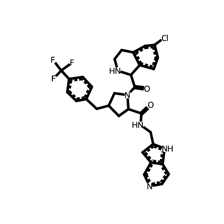 O=C(NCc1cc2cnccc2[nH]1)C1CC(Cc2ccc(C(F)(F)F)cc2)CN1C(=O)C1NCCc2cc(Cl)ccc21